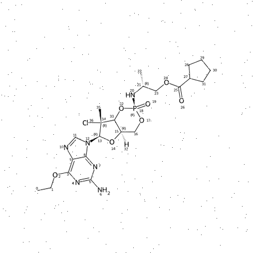 CCOc1nc(N)nc2c1ncn2[C@@H]1O[C@@H]2CO[P@](=O)(N[C@H](C)COC(=O)C3CCCC3)OC2[C@@]1(C)Cl